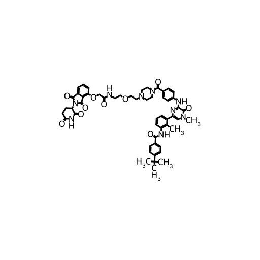 Cc1c(NC(=O)c2ccc(C(C)(C)C)cc2)cccc1-c1cn(C)c(=O)c(Nc2ccc(C(=O)N3CCN(CCOCCNC(=O)COc4cccc5c4C(=O)N(C4CCC(=O)NC4=O)C5=O)CC3)cc2)n1